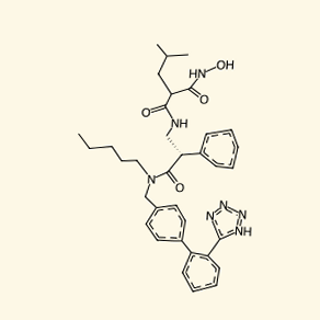 CCCCCN(Cc1ccc(-c2ccccc2-c2nnn[nH]2)cc1)C(=O)[C@H](CNC(=O)C(CC(C)C)C(=O)NO)c1ccccc1